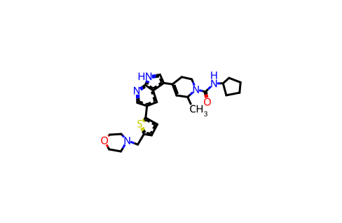 CC1C=C(c2c[nH]c3ncc(-c4ccc(CN5CCOCC5)s4)cc23)CCN1C(=O)NC1CCCC1